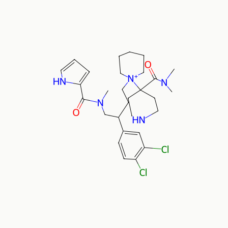 CN(C)C(=O)C1([N+]2(CCC(CN(C)C(=O)c3ccc[nH]3)c3ccc(Cl)c(Cl)c3)CCCCC2)CCNCC1